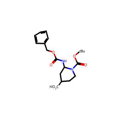 CC(C)(C)OC(=O)N1CCC(C(=O)O)CC1NC(=O)OCc1ccccc1